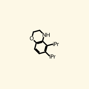 CC(C)c1ccc2c(c1C(C)C)NCCO2